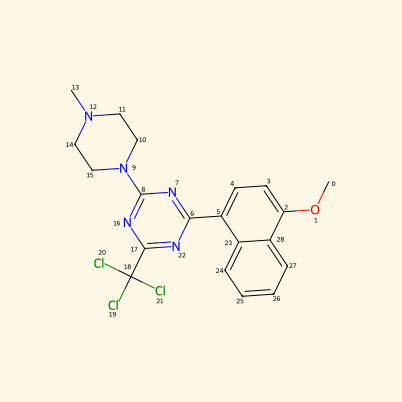 COc1ccc(-c2nc(N3CCN(C)CC3)nc(C(Cl)(Cl)Cl)n2)c2ccccc12